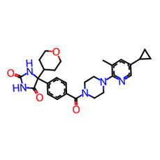 Cc1cc(C2CC2)cnc1N1CCN(C(=O)c2ccc(C3(C4CCOCC4)NC(=O)NC3=O)cc2)CC1